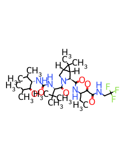 CCC(NC(=O)[C@@H]1[C@@H]2[C@H](CN1C(=O)[C@@H](NC(=O)N[C@H](C(=O)C(C)C)C(C)C)C(C)(C)C)C2(C)C)C(=O)C(=O)NCC(F)(F)F